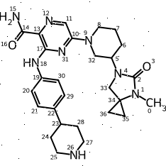 CN1C(=O)N(C2CCCN(c3cnc(C(N)=O)c(Nc4ccc(C5CCNCC5)cc4)n3)C2)CC12CC2